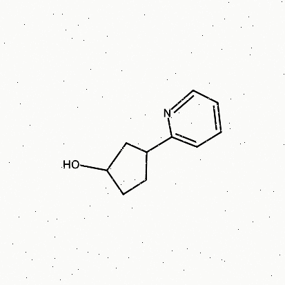 OC1CCC(c2ccccn2)C1